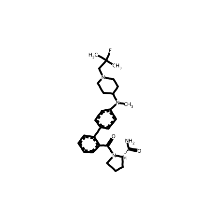 CN(c1ccc(-c2ccccc2C(=O)N2CCC[C@H]2C(N)=O)cc1)C1CCN(CC(C)(C)F)CC1